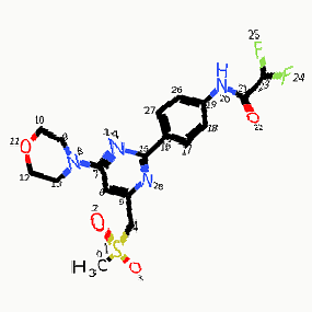 CS(=O)(=O)Cc1cc(N2CCOCC2)nc(-c2ccc(NC(=O)C(F)F)cc2)n1